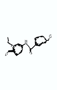 CCn1cc(NC(=O)c2ccc(Cl)cc2)ccc1=O